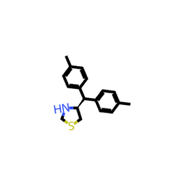 Cc1ccc(C(c2ccc(C)cc2)[C@H]2CSCN2)cc1